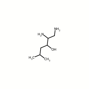 CC(C)CC(O)C(N)CN